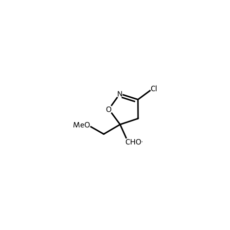 COCC1([C]=O)CC(Cl)=NO1